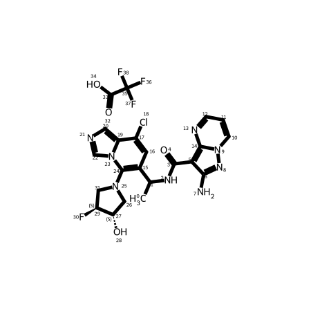 CC(NC(=O)c1c(N)nn2cccnc12)c1cc(Cl)c2cncn2c1N1C[C@H](O)[C@@H](F)C1.O=C(O)C(F)(F)F